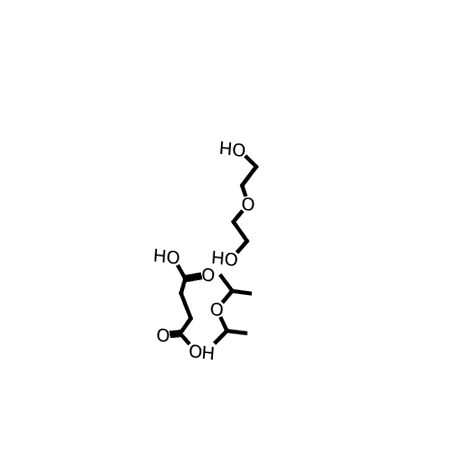 CC(C)OC(C)C.O=C(O)CCC(=O)O.OCCOCCO